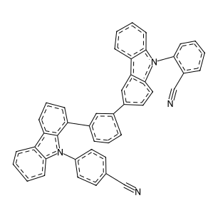 N#Cc1ccc(-n2c3ccccc3c3cccc(-c4cccc(-c5ccc6c(c5)c5ccccc5n6-c5ccccc5C#N)c4)c32)cc1